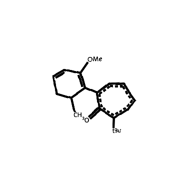 COC1=C(c2ccccc(C(C)(C)C)c2=O)C(C)CC=C1